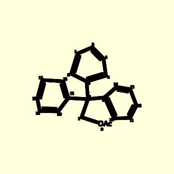 [CH2]C(=O)OCC(c1ccccc1)(c1ccccc1)c1ccccc1